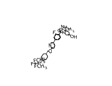 CC(C)(CN1CCC(COc2ccc(-c3ccc(C(=O)N4C[C@H](O)C[C@@]4(C)C(N)=O)c(F)c3)cn2)CC1)C(F)(F)F